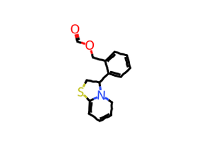 O=COCc1ccccc1C1CSC2=CC=CCN21